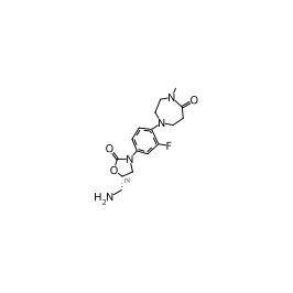 CN1CCN(c2ccc(N3C[C@H](CN)OC3=O)cc2F)CCC1=O